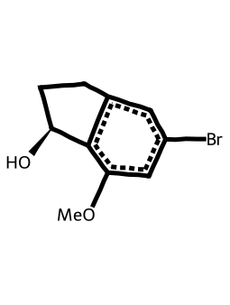 COc1cc(Br)cc2c1[C@@H](O)CC2